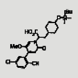 COc1cn(C(CC2CCC(O[Si](C)(C)C(C)(C)C)CC2)C(=O)O)c(=O)cc1-c1cc(Cl)ccc1C#N